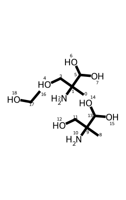 CC(N)(CO)C(O)O.CC(N)(CO)C(O)O.CCO